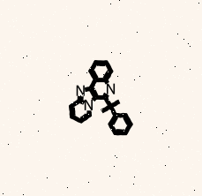 CC(C)(c1ccccc1)c1nc2ccccc2c2nc3ccccn3c12